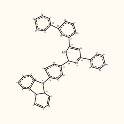 C1=CC2c3ccccc3N(c3ccc(C4N=C(c5ccccc5)C=C(c5cccc(-c6ccccc6)c5)N4)cc3)C2C=C1